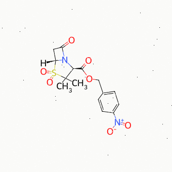 CC1(C)[C@H](C(=O)OCc2ccc([N+](=O)[O-])cc2)N2C(=O)C[C@H]2S1(=O)=O